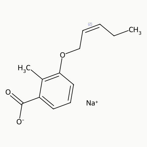 CC/C=C\COc1cccc(C(=O)[O-])c1C.[Na+]